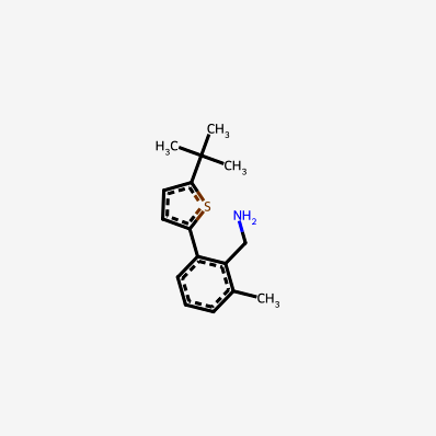 Cc1cccc(-c2ccc(C(C)(C)C)s2)c1CN